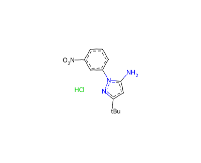 CC(C)(C)c1cc(N)n(-c2cccc([N+](=O)[O-])c2)n1.Cl